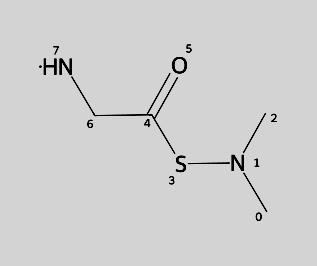 CN(C)SC(=O)C[NH]